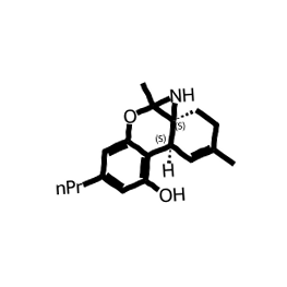 CCCc1cc(O)c2c(c1)OC1(C)N[C@]13CCC(C)=C[C@@H]23